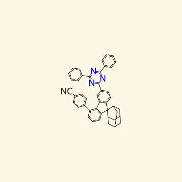 N#Cc1ccc(-c2cccc3c2-c2cc(-c4nc(-c5ccccc5)nc(-c5ccccc5)n4)ccc2C32C3CC4CC(C3)CC2C4)cc1